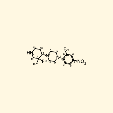 O=[N+]([O-])c1ccc(N2CCN([C@@H]3CCNCC3(F)F)CC2)c(F)c1